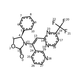 O=C1OC[C@@H](c2ccccc2)N1C(=[C]c1nccc(C(F)(F)F)n1)c1cccnc1